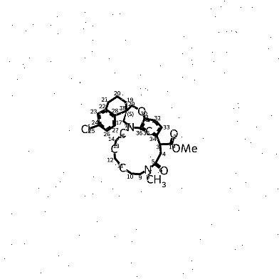 COC(=O)C1CC(=O)N(C)CCCCCCCN2C[C@@]3(CCCc4cc(Cl)ccc43)COc3ccc1cc32